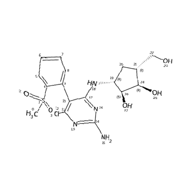 CS(=O)(=O)c1ccccc1-c1c(Cl)nc(N)nc1N[C@@H]1C[C@H](CO)[C@@H](O)[C@H]1O